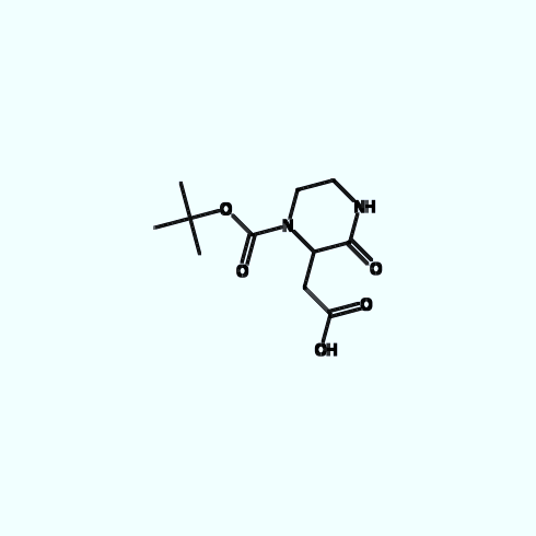 CC(C)(C)OC(=O)N1CCNC(=O)C1CC(=O)O